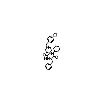 O=C1C(Cc2ccccc2)NC(=O)C2(CCN(Cc3ccc(Cl)cc3)CC2)N1C1CCCCC1